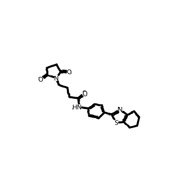 O=C(CCCN1C(=O)CCC1=O)Nc1ccc(-c2nc3c(s2)CCCC3)cc1